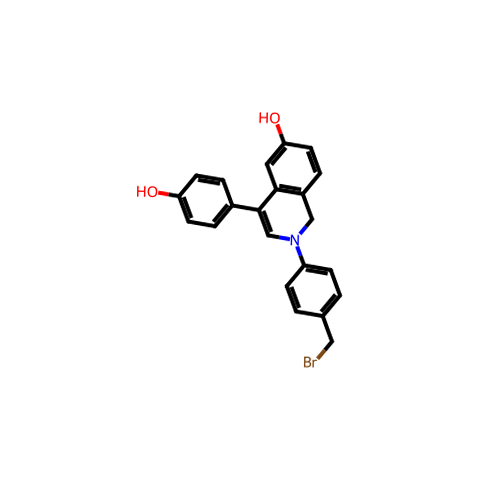 Oc1ccc(C2=CN(c3ccc(CBr)cc3)Cc3ccc(O)cc32)cc1